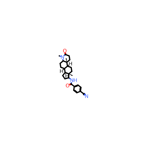 CN1C(=O)CC[C@@]2(C)C1CC[C@@H]1[C@H]2CC[C@]2(C)C(NC(=O)c3ccc(C#N)cc3)CC[C@@H]12